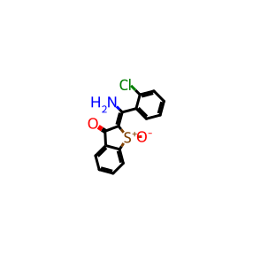 N/C(=C1\C(=O)c2ccccc2[S+]1[O-])c1ccccc1Cl